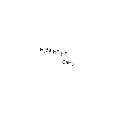 F.F.[BaH2].[CaH2]